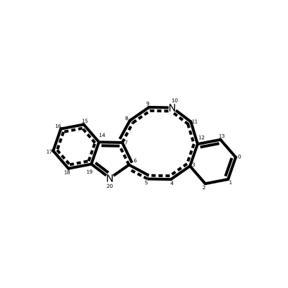 C1=CCc2ccc3c(ccncc2=C1)=c1ccccc1=N3